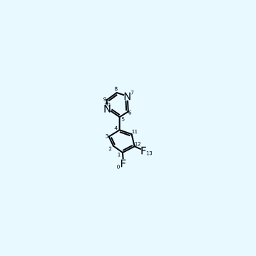 Fc1ccc(-c2cnccn2)cc1F